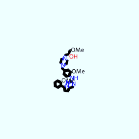 COCC(O)CN1CCN(Cc2ccc(Nc3ncc4ccc(-c5ccccc5OC)n4n3)c(OC)c2)CC1